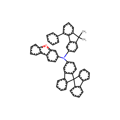 CC1(C)c2ccc(N(c3ccc4c(c3)-c3ccccc3C43c4ccccc4-c4ccccc43)c3ccc4c(c3)oc3ccccc34)cc2-c2c(-c3ccccc3)cccc21